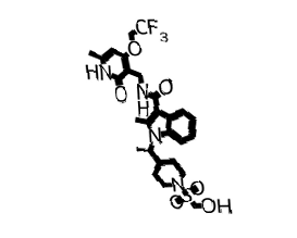 Cc1cc(OCC(F)(F)F)c(CNC(=O)c2c(C)n([C@H](C)C3CCN(S(=O)(=O)CO)CC3)c3ccccc23)c(=O)[nH]1